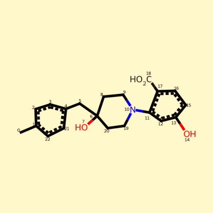 Cc1ccc(CC2(O)CCN(c3cc(O)ccc3C(=O)O)CC2)cc1